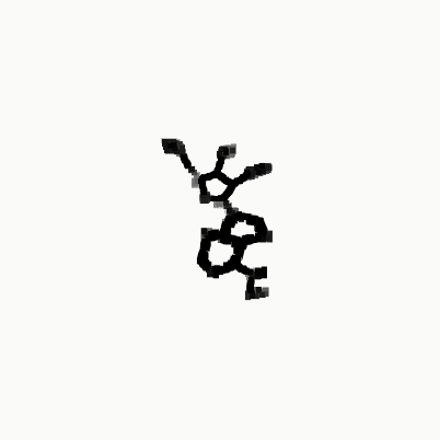 CCCCNc1ncnc2c1ncn2[C@@H]1O[C@H](CO)C(O)C1OC